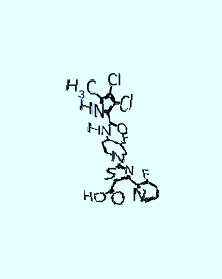 Cc1[nH]c(C(=O)N[C@@H]2CCN(c3nc(-c4ncccc4F)c(C(=O)O)s3)C[C@@H]2F)c(Cl)c1Cl